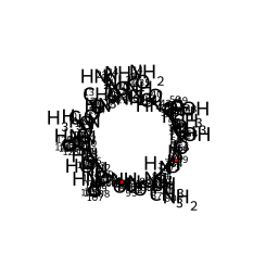 CCCC[C@H]1C(=O)N(C)[C@@H](CCCC)C(=O)N[C@@H](CCCNC(=N)N)C(=O)N[C@H](C(=O)NCC(N)=O)CSCC(=O)N[C@@H](Cc2ccc(O)cc2)C(=O)N(C)[C@@H](C)C(=O)N[C@@H](CC(=O)O)C(=O)N2CCC[C@H]2C(=O)N[C@@H](CCCCN)C(=O)N[C@@H](CC(C)C)C(=O)N2CCC[C@H]2C(=O)N[C@@H](Cc2c[nH]c3ccccc23)C(=O)N[C@@H](CO)C(=O)N[C@@H](Cc2c[nH]c3ccccc23)C(=O)N1C